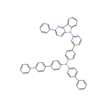 c1ccc(-c2ccc(-c3ccc(N(c4ccc(-c5ccccc5)cc4)c4ccc(-c5cccc(-n6c7ccccc7c7nc(-c8ccccc8)ccc76)c5)cc4)cc3)cc2)cc1